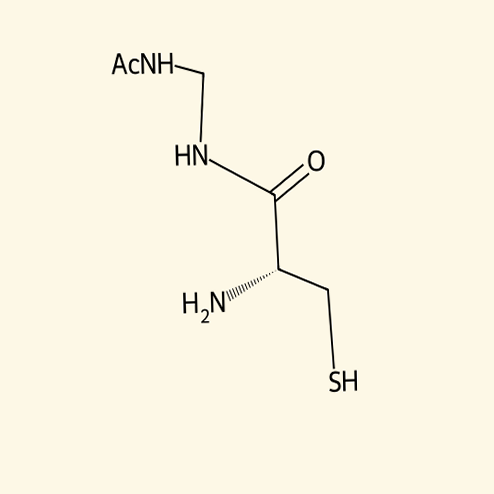 CC(=O)NCNC(=O)[C@@H](N)CS